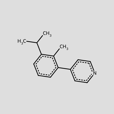 Cc1c(-c2ccncc2)cccc1C(C)C